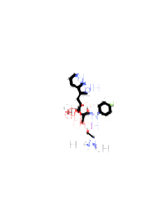 CN(C)CCOC(=O)C1=C(Nc2ccc(F)cc2)OC(=Cc2c[nH]c3ncccc23)C1=O.O=CO